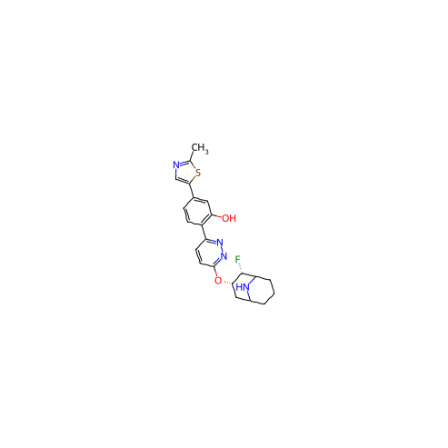 Cc1ncc(-c2ccc(-c3ccc(O[C@H]4CC5CCCC(N5)[C@H]4F)nn3)c(O)c2)s1